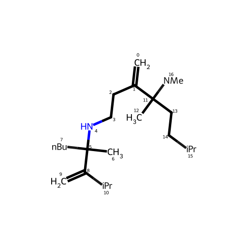 C=C(CCNC(C)(CCCC)C(=C)C(C)C)C(C)(CCC(C)C)NC